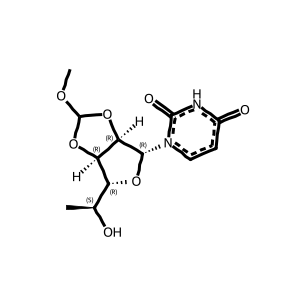 COC1O[C@H]2[C@@H](O1)[C@H](n1ccc(=O)[nH]c1=O)O[C@@H]2[C@H](C)O